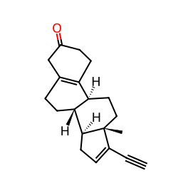 C#CC1=CC[C@H]2[C@@H]3CCC4=C(CCC(=O)C4)[C@H]3CC[C@]12C